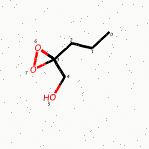 CCCC1(CO)OO1